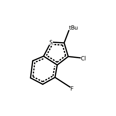 CC(C)(C)c1sc2cccc(F)c2c1Cl